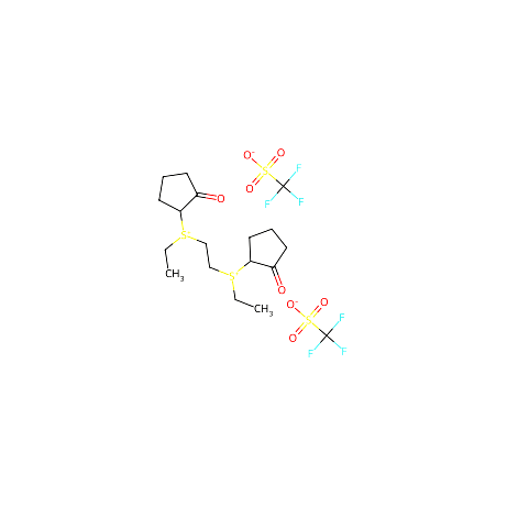 CC[S+](CC[S+](CC)C1CCCC1=O)C1CCCC1=O.O=S(=O)([O-])C(F)(F)F.O=S(=O)([O-])C(F)(F)F